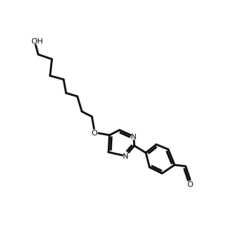 O=Cc1ccc(-c2ncc(OCCCCCCCCO)cn2)cc1